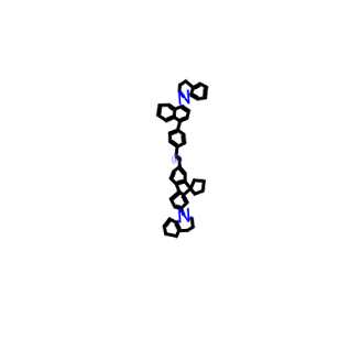 C1=CC2=C(CC1)CCCN2c1ccc2c(c1)C1(CCCC1)c1cc(/C=C/c3ccc(-c4ccc(N5CCCc6ccccc65)c5ccccc45)cc3)ccc1-2